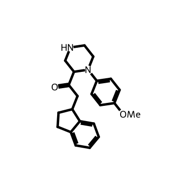 COc1ccc(N2CCNCC2C(=O)CC2CCc3ccccc32)cc1